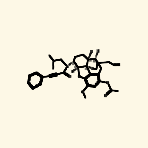 C=CCN1CC[C@]23c4c5c(OC(C)=O)cc(OC)c4O[C@H]2[C@H](N(CC(C)C)C(=O)C#Cc2ccccc2)CC[C@H]3[C@H]1C5